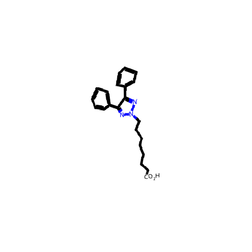 O=C(O)CCCCCCCn1nc(-c2ccccc2)c(-c2ccccc2)n1